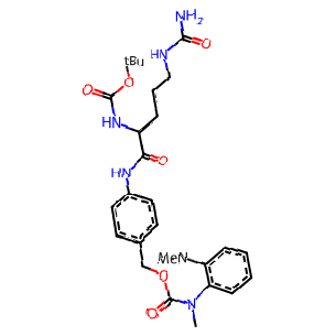 CNc1ccccc1N(C)C(=O)OCc1ccc(NC(=O)C(CCCNC(N)=O)NC(=O)OC(C)(C)C)cc1